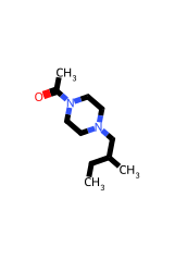 CCC(C)CN1CCN(C(C)=O)CC1